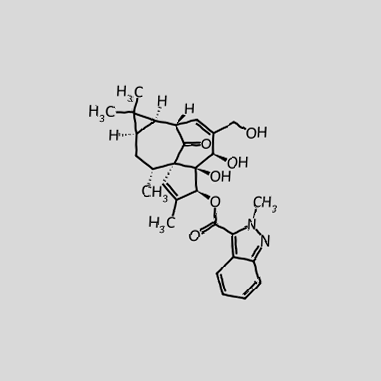 CC1=C[C@]23C(=O)[C@@H](C=C(CO)[C@@H](O)[C@]2(O)[C@H]1OC(=O)c1c2ccccc2nn1C)[C@H]1[C@@H](C[C@H]3C)C1(C)C